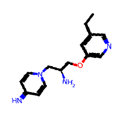 CCc1cncc(OC[C@@H](N)Cn2ccc(=N)cc2)c1